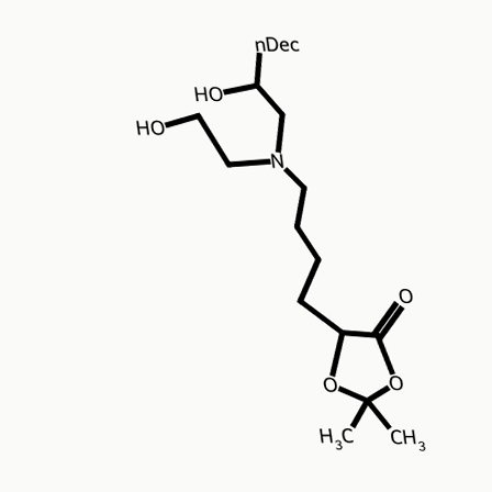 CCCCCCCCCCC(O)CN(CCO)CCCCC1OC(C)(C)OC1=O